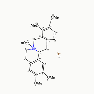 CCCCCCCC[N+]12CCc3cc(OC)c(OC)cc3C1Cc1ccc(OC)c(OC)c1C2.[Br-]